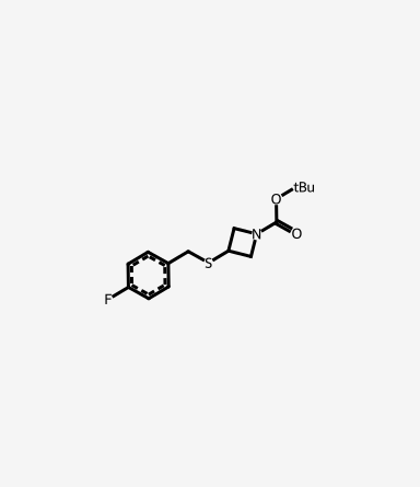 CC(C)(C)OC(=O)N1CC(SCc2ccc(F)cc2)C1